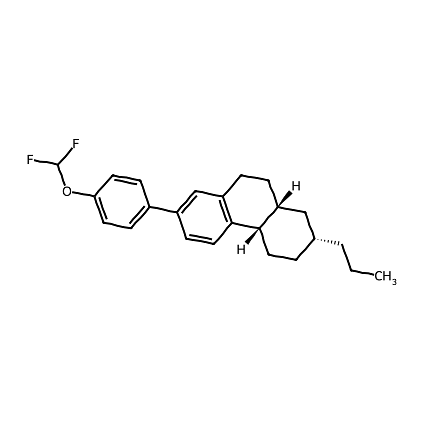 CCC[C@@H]1CC[C@@H]2c3ccc(-c4ccc(OC(F)F)cc4)cc3CC[C@@H]2C1